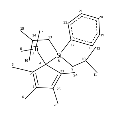 CC1=C(C)[C]([Ti]([CH3])[CH3])([Si](CC(C)C)(CC(C)C)c2ccccc2)C(C)=C1C